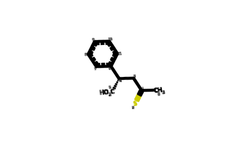 CC(=S)C[C@H](C(=O)O)c1ccccc1